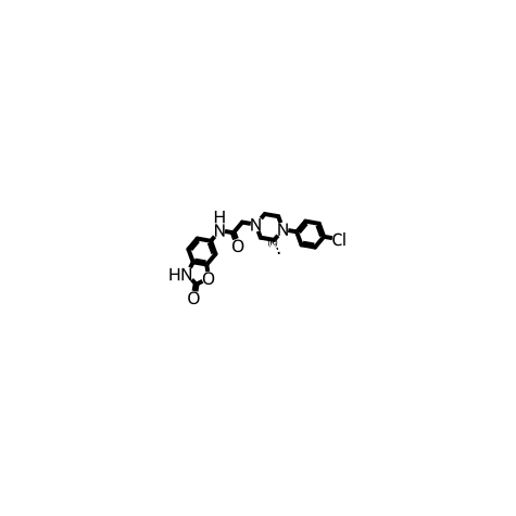 C[C@@H]1CN(CC(=O)Nc2ccc3[nH]c(=O)oc3c2)CCN1c1ccc(Cl)cc1